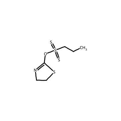 CCCS(=S)(=S)OC1=NCCS1